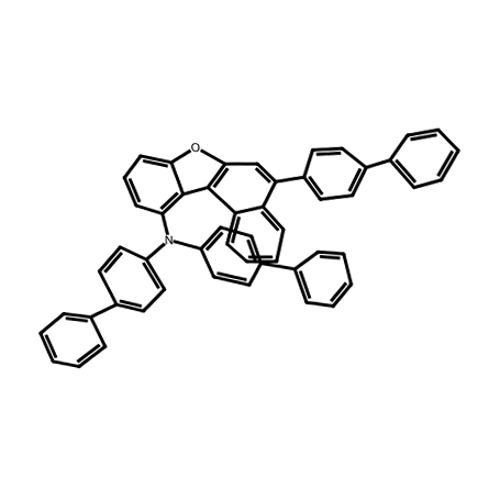 c1ccc(-c2ccc(-c3cc4oc5cccc(N(c6ccc(-c7ccccc7)cc6)c6ccc(-c7ccccc7)cc6)c5c4c4ccccc34)cc2)cc1